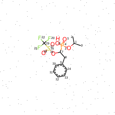 CC(C)OP(=O)(O)C(Cc1ccccc1)OS(=O)(=O)C(F)(F)F